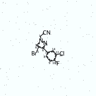 N#CCn1cc(Br)c(-c2ccc(F)c(Cl)c2)n1